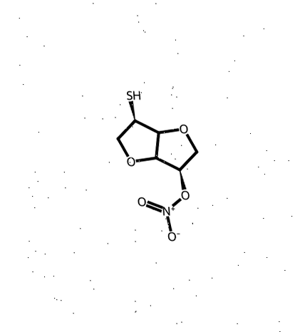 O=[N+]([O-])O[C@@H]1COC2C1OC[C@H]2S